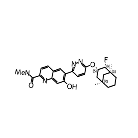 CNC(=O)c1ccc2cc(-c3ccc(O[C@H]4C[C@]5(C)CCC[C@@](C)(C5)[C@H]4F)nn3)c(O)cc2n1